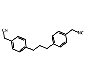 [C-]#[N+]Cc1ccc(CCCc2ccc(CC#N)cc2)cc1